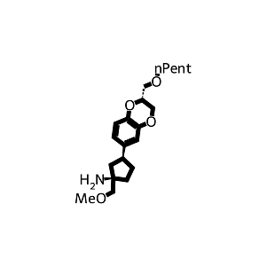 CCCCCOC[C@@H]1COc2cc([C@H]3CC[C@](N)(COC)C3)ccc2O1